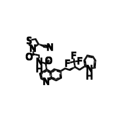 N#C[C@@H]1CSCN1C(=O)CNC(=O)c1ccnc2ccc(CC[C@H](CC3=CC=CC=CN3)C(F)(F)F)cc12